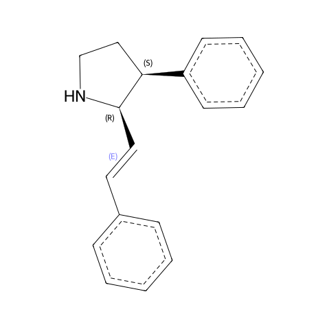 C(=C\[C@H]1NCC[C@H]1c1ccccc1)/c1ccccc1